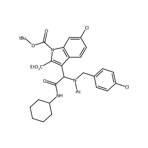 CCOC(=O)c1c(C(C(=O)NC2CCCCC2)N(Cc2ccc(Cl)cc2)C(C)=O)c2ccc(Cl)cc2n1C(=O)OC(C)(C)C